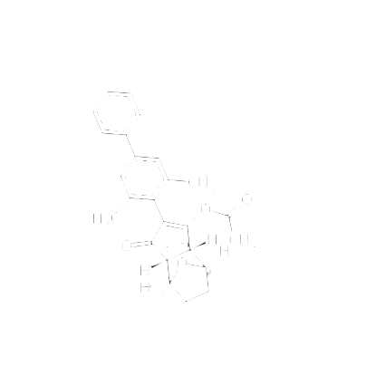 CC(=O)OC1=C(c2c(C)cc(-c3ccccc3)cc2C)C(=O)[C@@H]2[C@H]1[C@H]1CC[C@@H]2O1